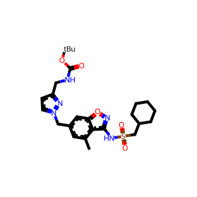 Cc1cc(Cn2ccc(CNC(=O)OC(C)(C)C)n2)cc2onc(NS(=O)(=O)CC3CCCCC3)c12